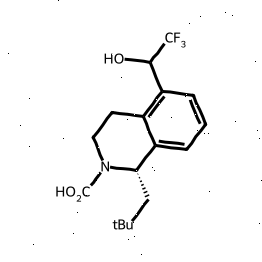 CC(C)(C)C[C@H]1c2cccc(C(O)C(F)(F)F)c2CCN1C(=O)O